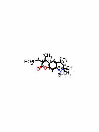 Cc1c(CC(=O)O)c(=O)oc2cc3c(cc12)C(C)CC(C)(C)N3C